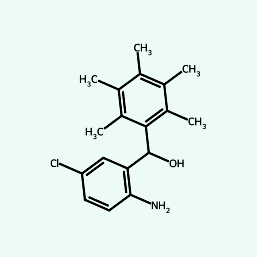 Cc1c(C)c(C)c(C(O)c2cc(Cl)ccc2N)c(C)c1C